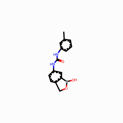 Cc1cccc(NC(=O)Nc2ccc3c(c2)B(O)OC3)c1